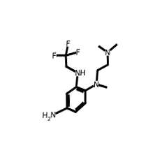 CN(C)CCN(C)c1ccc(N)cc1NCC(F)(F)F